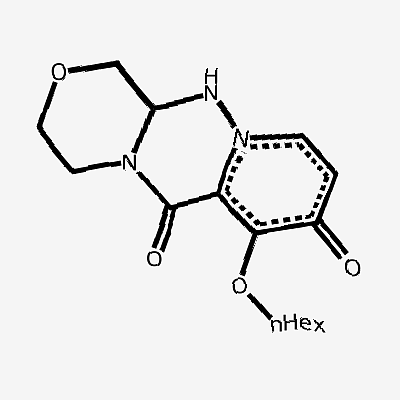 CCCCCCOc1c2n(ccc1=O)NC1COCCN1C2=O